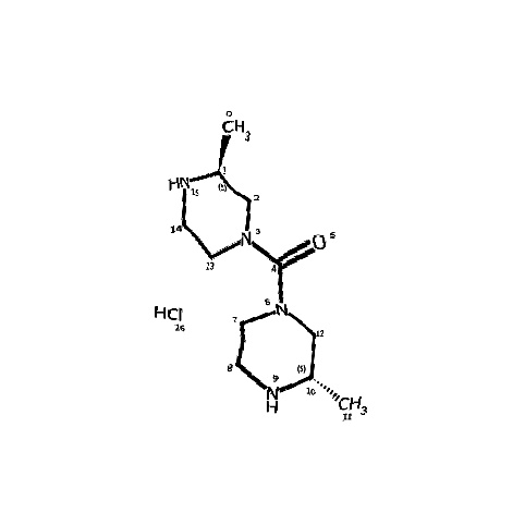 C[C@H]1CN(C(=O)N2CCN[C@@H](C)C2)CCN1.Cl